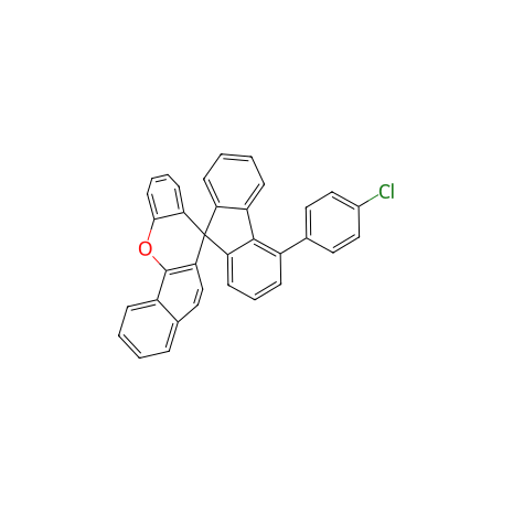 Clc1ccc(-c2cccc3c2-c2ccccc2C32c3ccccc3Oc3c2ccc2ccccc32)cc1